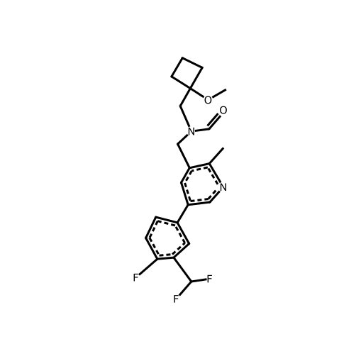 COC1(CN(C=O)Cc2cc(-c3ccc(F)c(C(F)F)c3)cnc2C)CCC1